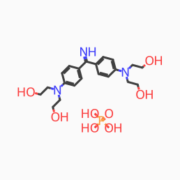 N=C(c1ccc(N(CCO)CCO)cc1)c1ccc(N(CCO)CCO)cc1.O=P(O)(O)O